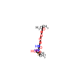 CC(C)SC(CC(=O)O)C(=O)NCCC(=O)NCCOCCOCCOCCOCCC(=O)C(C)C